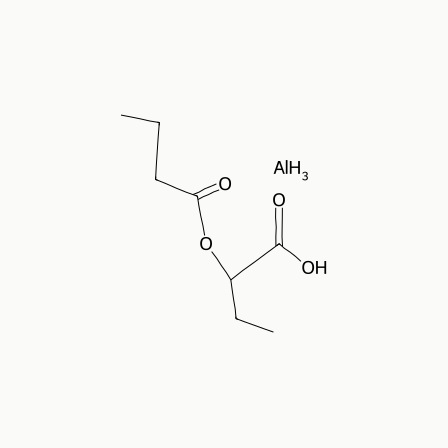 CCCC(=O)OC(CC)C(=O)O.[AlH3]